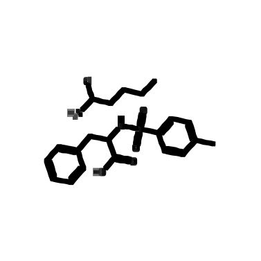 CCCCC(N)Cl.Cc1ccc(S(=O)(=O)NC(Cc2ccccc2)C(=O)O)cc1